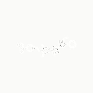 CCn1nc(-c2noc(-c3cc(C)c(CCN4CCC(C(=O)O)CC4)c(C)c3)n2)cc1C1CCCCC1